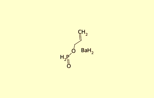 C=CCO[PH2]=O.[BaH2]